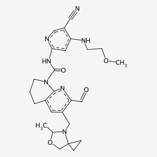 COCCNc1cc(NC(=O)N2CCCc3cc(CN4C(C)OCC45CC5)c(C=O)nc32)ncc1C#N